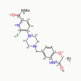 CC[C@H]1Oc2ccc(CN3CCN(c4ccc(C(=O)NC)nc4F)CC3)cc2NC1=O